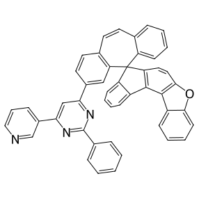 C1=Cc2ccc(-c3cc(-c4cccnc4)nc(-c4ccccc4)n3)cc2C2(c3ccccc31)c1ccccc1-c1c2ccc2oc3ccccc3c12